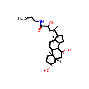 C[C@H](CC(O)C(=O)NCCS(=O)(=O)O)[C@H]1CCC2C3C(CC[C@@]21C)[C@@]1(C)CC[C@@H](O)C[C@H]1C[C@@H]3O